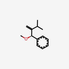 C=C(C(C)C)[C@H](OC)c1ccccc1